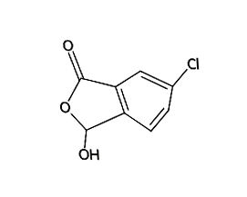 O=C1OC(O)c2ccc(Cl)cc21